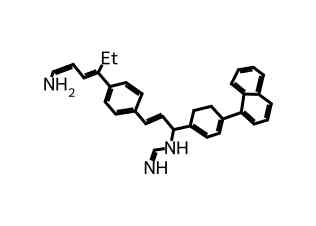 CC/C(=C\C=C/N)c1ccc(/C=C/C(NC=N)C2=CC=C(c3cccc4ccccc34)CC2)cc1